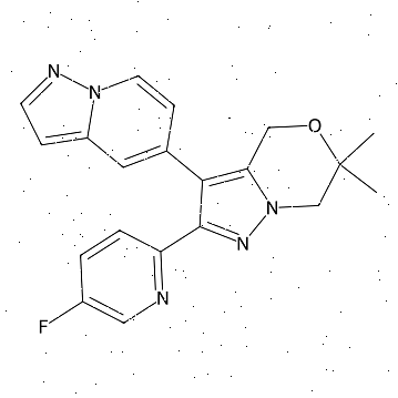 CC1(C)Cn2nc(-c3ccc(F)cn3)c(-c3ccn4nccc4c3)c2CO1